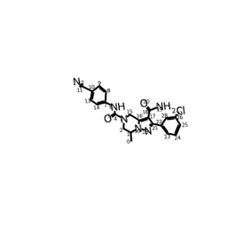 CC1CN(C(=O)Nc2ccc(C#N)cc2)Cc2c(C(N)=O)c(-c3cccc(Cl)c3)nn21